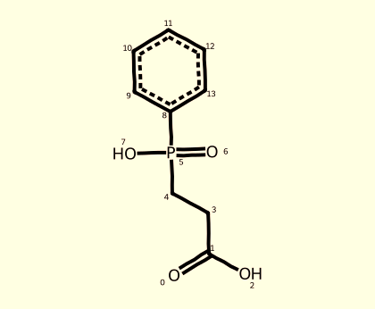 O=C(O)CCP(=O)(O)c1ccccc1